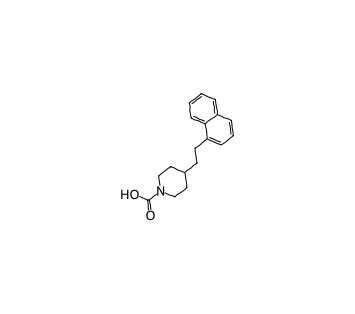 O=C(O)N1CCC(CCc2cccc3ccccc23)CC1